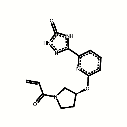 C=CC(=O)N1CC[C@H](Oc2cccc(-c3n[nH]c(=O)[nH]3)n2)C1